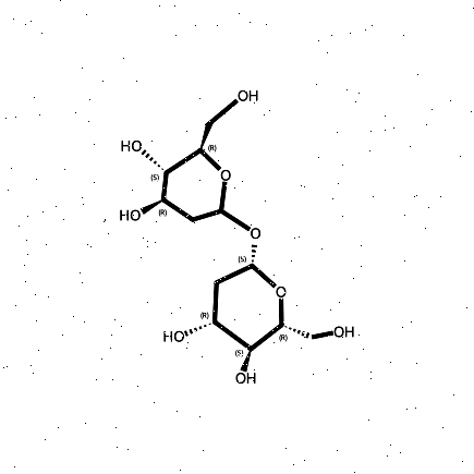 OC[C@H]1OC(O[C@H]2C[C@@H](O)[C@H](O)[C@@H](CO)O2)C[C@@H](O)[C@@H]1O